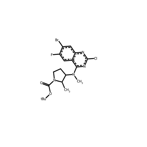 CC1C(N(C)c2nc(Cl)nc3cc(Br)c(F)cc23)CCN1C(=O)OC(C)(C)C